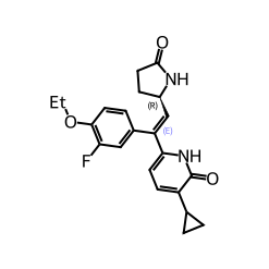 CCOc1ccc(/C(=C\[C@H]2CCC(=O)N2)c2ccc(C3CC3)c(=O)[nH]2)cc1F